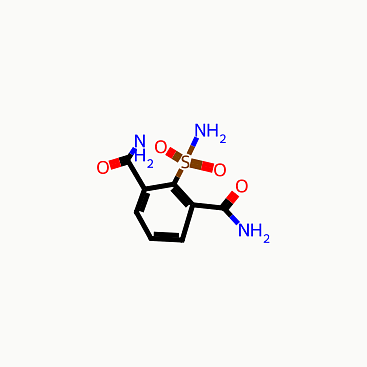 NC(=O)c1cccc(C(N)=O)c1S(N)(=O)=O